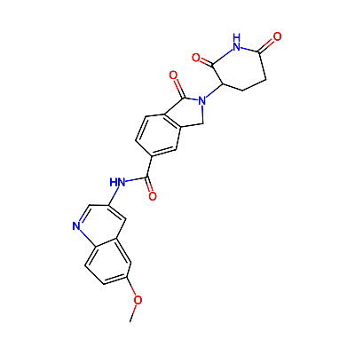 COc1ccc2ncc(NC(=O)c3ccc4c(c3)CN(C3CCC(=O)NC3=O)C4=O)cc2c1